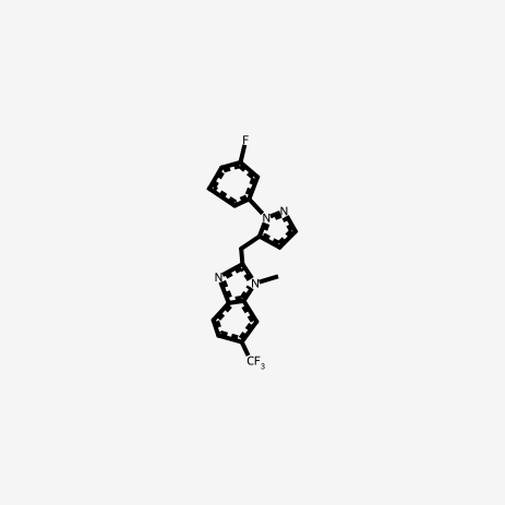 Cn1c(Cc2ccnn2-c2cccc(F)c2)nc2ccc(C(F)(F)F)cc21